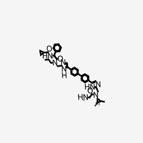 CCCN(Cc1ncc(-c2ccc(-c3ccc(-c4cnc(CN(C(=O)CNC)C5C(C)[C@H]5C)[nH]4)cc3)cc2)[nH]1)C(=O)[C@H](NC(=O)C1CC1)c1ccccc1